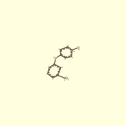 O=[N+]([O-])c1cccc(Oc2ccc(Cl)cc2)c1